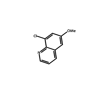 COc1cc(Cl)c2ncccc2c1